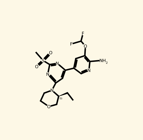 CC[C@H]1COCCN1c1cc(-c2cnc(N)c(OC(F)F)c2)nc(S(C)(=O)=O)n1